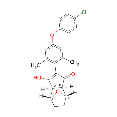 Cc1cc(Oc2ccc(Cl)cc2)cc(C)c1C1=C(O)[C@H]2[C@@H](C1=O)[C@@H]1CC[C@H]2O1